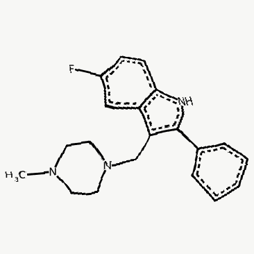 CN1CCN(Cc2c(-c3ccccc3)[nH]c3ccc(F)cc23)CC1